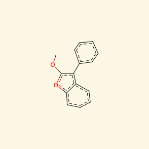 COc1oc2ccccc2c1-c1ccccc1